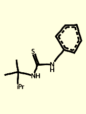 CC(C)C(C)(C)NC(=S)Nc1ccccc1